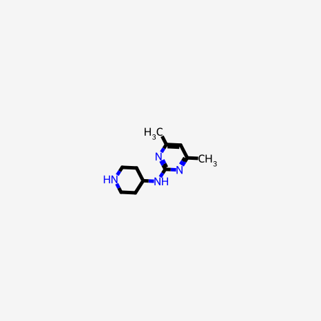 Cc1cc(C)nc(NC2CCNCC2)n1